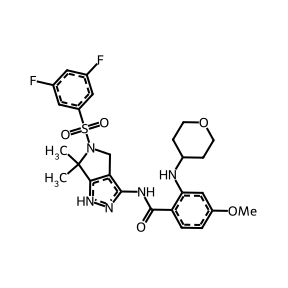 COc1ccc(C(=O)Nc2n[nH]c3c2CN(S(=O)(=O)c2cc(F)cc(F)c2)C3(C)C)c(NC2CCOCC2)c1